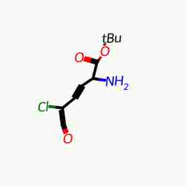 CC(C)(C)OC(=O)C(N)C#CC(Cl)=C=O